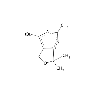 Cc1nc(C(C)(C)C)c2c(n1)C(C)(C)OC2